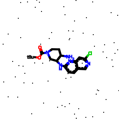 CC(C)(C)OC(=O)N1CCC(N)C(Nc2ccc3cnc(Cl)cc3n2)C1